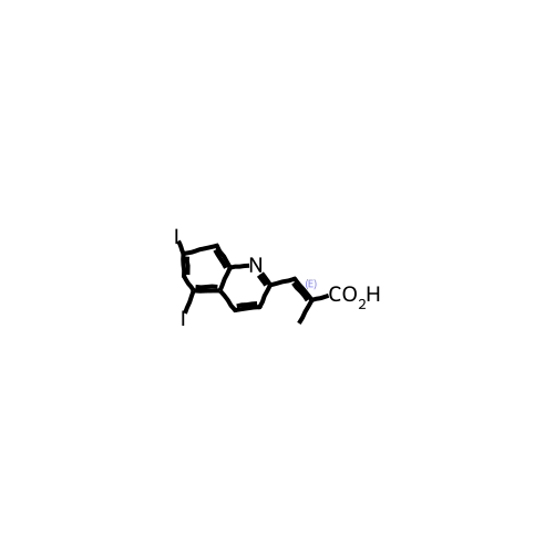 C/C(=C\c1ccc2c(I)cc(I)cc2n1)C(=O)O